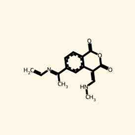 C=C/N=C(\C)c1ccc2c(c1)/C(=C\NC)C(=O)OC2=O